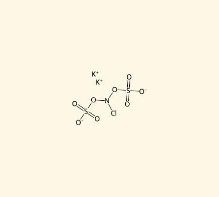 O=S(=O)([O-])ON(Cl)OS(=O)(=O)[O-].[K+].[K+]